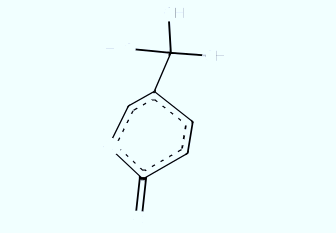 CC(C)(C)c1ccc(=O)oc1